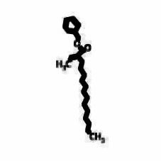 CC=C(CCCCCCCCCCCCC)C(=O)OCc1ccccc1